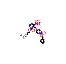 CCCCOC(=O)N1CCCC([N+](=O)[O-])C1COC1CCN(C(=O)OCc2ccccc2)CC1